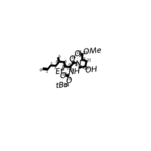 C=CCCC(C)C[C@@H](CC)[C@H](NC(=O)OC(C)(C)C)C(=O)N1CC(O)CC1C(=O)OC